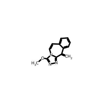 C=C1c2ccccc2C=Cn2c(OC)nnc21